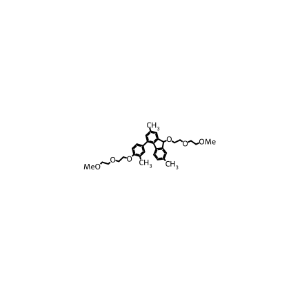 COCCOCCOc1ccc(-c2cc(C)cc3c2-c2ccc(C)cc2C3OCCOCCOC)cc1C